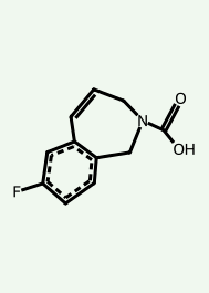 O=C(O)N1CC=Cc2cc(F)ccc2C1